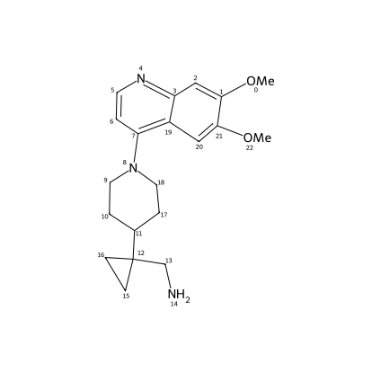 COc1cc2nccc(N3CCC(C4(CN)CC4)CC3)c2cc1OC